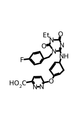 CCn1c(=O)nc(NC2C=CC(Oc3ccc(C(=O)O)nn3)=CC2)n(Cc2ccc(F)cc2)c1=O